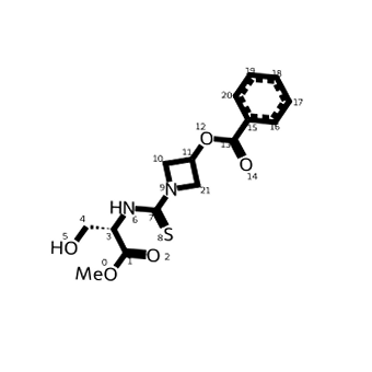 COC(=O)[C@H](CO)NC(=S)N1CC(OC(=O)c2ccccc2)C1